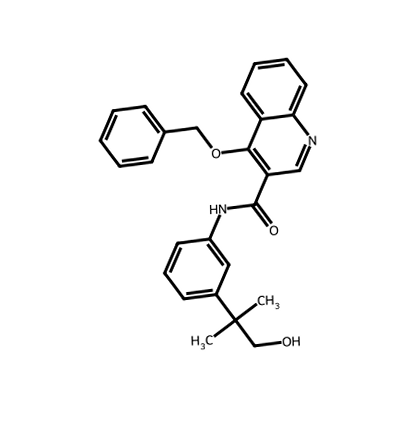 CC(C)(CO)c1cccc(NC(=O)c2cnc3ccccc3c2OCc2ccccc2)c1